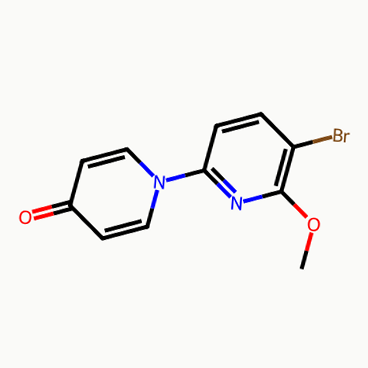 COc1nc(-n2ccc(=O)cc2)ccc1Br